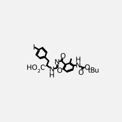 Cc1c(NC(=O)OC(C)(C)C)ccc2oc(N[C@@H](Cc3ccc(I)cc3)C(=O)O)nc(=O)c12